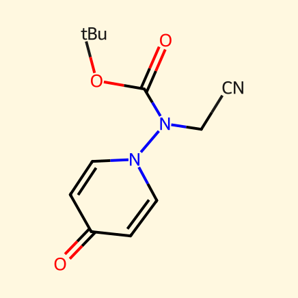 CC(C)(C)OC(=O)N(CC#N)n1ccc(=O)cc1